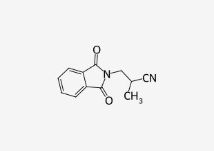 CC(C#N)CN1C(=O)c2ccccc2C1=O